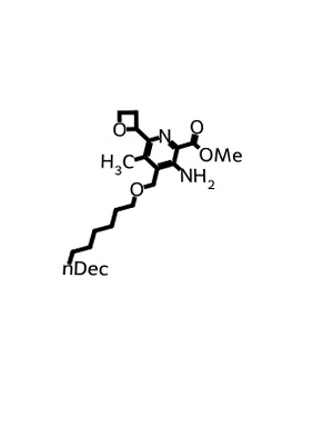 CCCCCCCCCCCCCCCCOCc1c(C)c(C2CCO2)nc(C(=O)OC)c1N